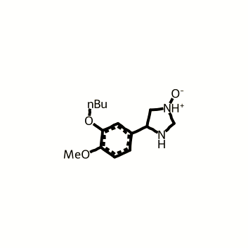 CCCCOc1cc(C2C[NH+]([O-])CN2)ccc1OC